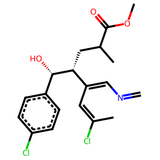 C=N/C=C(\C=C(/C)Cl)[C@@H](CC(C)C(=O)OC)[C@@H](O)c1ccc(Cl)cc1